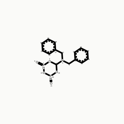 O=[PH]1OC(N(Cc2ccccc2)Cc2ccccc2)O[PH](=O)O1